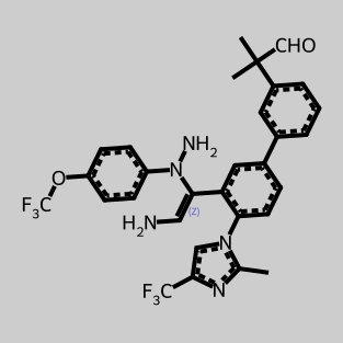 Cc1nc(C(F)(F)F)cn1-c1ccc(-c2cccc(C(C)(C)C=O)c2)cc1/C(=C/N)N(N)c1ccc(OC(F)(F)F)cc1